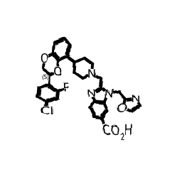 O=C(O)c1ccc2nc(CN3CCC(c4cccc5c4O[C@@H](c4ccc(Cl)cc4F)CO5)CC3)n(Cc3ncco3)c2c1